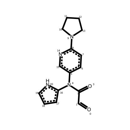 O=CC(=O)N(c1ccc(N2CCCC2)nc1)c1ccc[nH]1